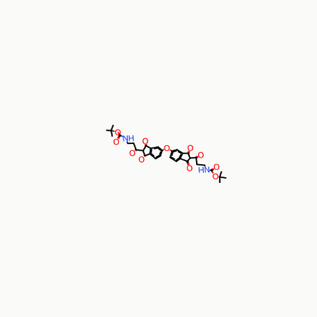 CC(C)(C)OC(=O)NCCC(=O)C1C(=O)c2ccc(Oc3ccc4c(c3)C(=O)C(C(=O)CCNC(=O)OC(C)(C)C)C4=O)cc2C1=O